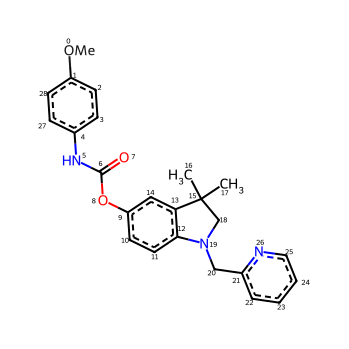 COc1ccc(NC(=O)Oc2ccc3c(c2)C(C)(C)CN3Cc2ccccn2)cc1